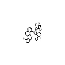 O=C1NCCc2c1cc(-c1cccc3ccc(-c4c(F)cccc4F)nc13)n2OC(=O)C(F)(F)F